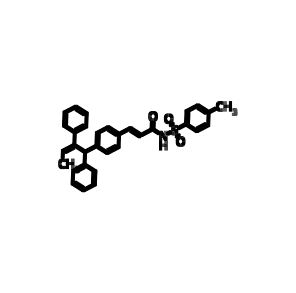 CC=C(c1ccccc1)C(c1ccccc1)c1ccc(C=CC(=O)NS(=O)(=O)c2ccc(C)cc2)cc1